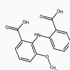 COc1cccc(C(=O)O)c1Nc1ccccc1C(=O)O